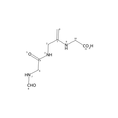 C=C(CNC(=O)CNC=O)NCC(=O)O